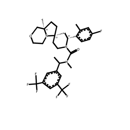 Cc1cc(F)ccc1[C@H]1C[C@@]2(CCN1C(=O)N(C)C(C)c1cc(C(F)(F)F)cc(C(F)(F)F)c1)CC[C@]1(C)COCCN12